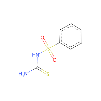 NC(=S)NS(=O)(=O)c1ccccc1